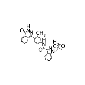 Cc1cc(NC(=O)c2nn(CC3(C)COC3)c3ccccc23)ccc1-c1n[nH]c(=O)c2ccccc12